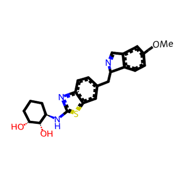 COc1ccc2c(c1)C=NC2Cc1ccc2nc(N[C@@H]3CCC[C@@H](O)[C@H]3O)sc2c1